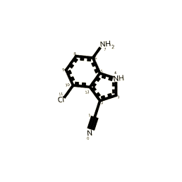 N#Cc1c[nH]c2c(N)ccc(Cl)c12